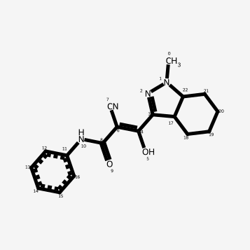 CN1N=C(/C(O)=C(\C#N)C(=O)Nc2ccccc2)C2CCCCC21